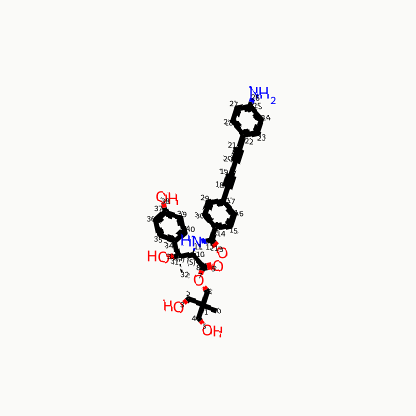 CC(CO)(CO)COC(=O)[C@@H](NC(=O)c1ccc(C#CC#Cc2ccc(N)cc2)cc1)[C@@](C)(O)c1ccc(O)cc1